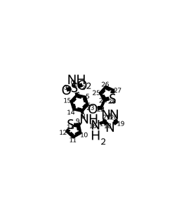 NS(=O)(=O)c1ccc(Nc2cccs2)cc1.Nc1ncnn1C(=O)c1cccs1